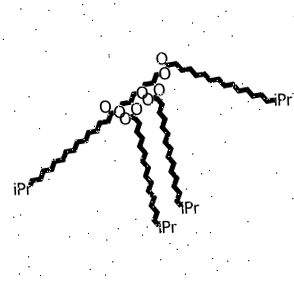 CC(C)CCCCCCCCCCCCCCC(=O)OCC(COCC(COC(=O)CCCCCCCCCCCCCCC(C)C)OC(=O)CCCCCCCCCCCCCCC(C)C)OC(=O)CCCCCCCCCCCCCCC(C)C